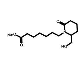 COC(=O)CCCCCCN1C(=O)CCCC1CO